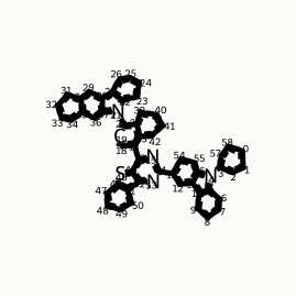 c1ccc(-n2c3ccccc3c3cc(-c4nc(-c5ccc(-n6c7ccccc7c7cc8ccccc8cc76)c6ccccc56)c5sc6ccccc6c5n4)ccc32)cc1